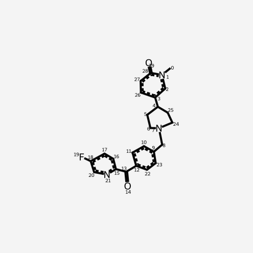 Cn1cc(C2CCN(Cc3ccc(C(=O)c4ccc(F)cn4)cc3)CC2)ccc1=O